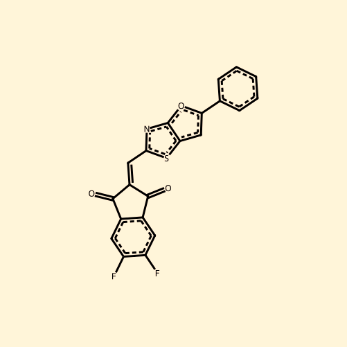 O=C1C(=Cc2nc3oc(-c4ccccc4)cc3s2)C(=O)c2cc(F)c(F)cc21